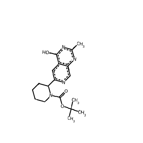 Cc1nc(O)c2cc(C3CCCCN3C(=O)OC(C)(C)C)ncc2n1